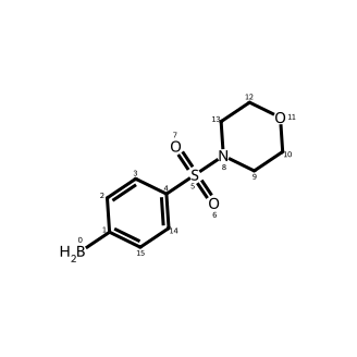 Bc1ccc(S(=O)(=O)N2CCOCC2)cc1